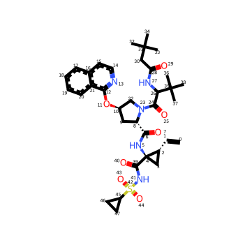 C=C[C@@H]1C[C@]1(NC(=O)[C@@H]1C[C@@H](Oc2nccc3ccccc23)CN1C(=O)C(NC(=O)CC(C)(C)C)C(C)(C)C)C(=O)NS(=O)(=O)C1CC1